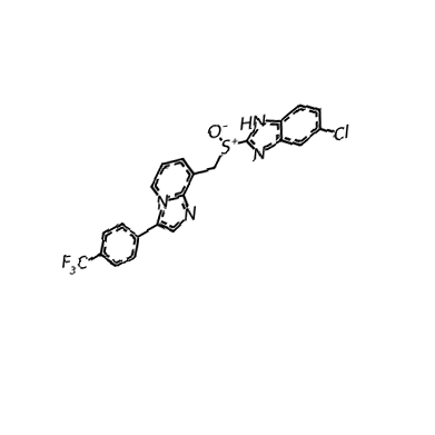 [O-][S+](Cc1cccn2c(-c3ccc(C(F)(F)F)cc3)cnc12)c1nc2cc(Cl)ccc2[nH]1